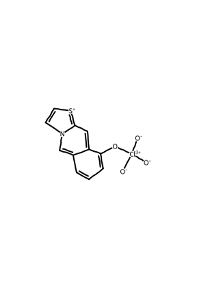 [O-][Cl+3]([O-])([O-])Oc1cccc2cn3cc[s+]c3cc12